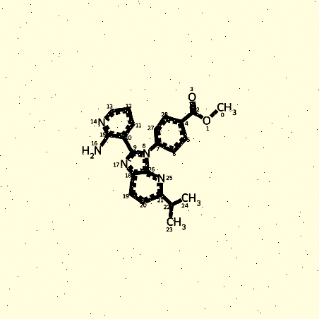 COC(=O)c1ccc(-n2c(-c3cccnc3N)nc3ccc(C(C)C)nc32)cc1